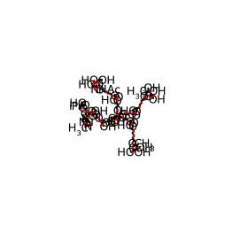 CC(=O)N[C@H]1C(O)[C@@H](O)C(CO)O[C@H]1OCCCCCCOP(=O)(O)OCCCOCC(COCCCOP(=O)(O)OCCCCCCO[C@@H]1OC(CO)[C@H](O)C(O)[C@@H]1C)(COCCCOP(=O)(O)OCCCCCCO[C@@H]1OC(CO)[C@H](O)C(O)[C@@H]1C)COP(=O)(O)OCOCC(CO)COCOP(=O)(O)O[C@H]1C[C@H](n2cnc3c(C)ncnc32)O[C@@H]1COP(=O)(O)C(C)C